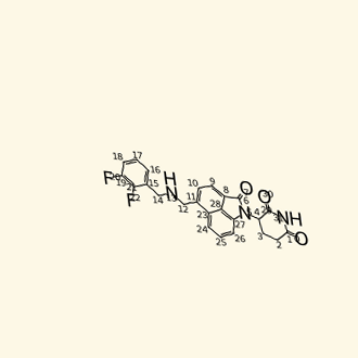 O=C1CCC(N2C(=O)c3ccc(CNCc4cccc(F)c4F)c4cccc2c34)C(=O)N1